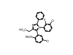 COc1ccc(Cl)cc1-c1c(CC(=O)O)nc(-c2ccccc2)n1-c1cccc(Cl)c1F